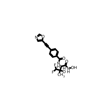 CC(O)(C(F)F)[C@H](NC(=O)c1ccc(C#Cc2cnco2)cc1)C(=O)NO